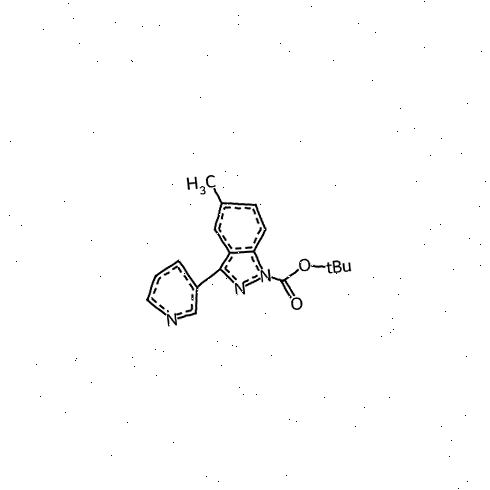 Cc1ccc2c(c1)c(-c1cccnc1)nn2C(=O)OC(C)(C)C